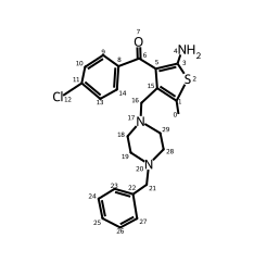 Cc1sc(N)c(C(=O)c2ccc(Cl)cc2)c1CN1CCN(Cc2ccccc2)CC1